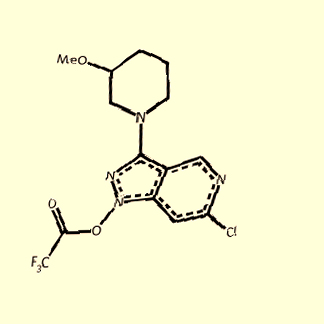 COC1CCCN(c2nn(OC(=O)C(F)(F)F)c3cc(Cl)ncc23)C1